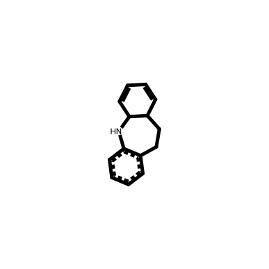 C1=CC2CCc3ccccc3NC2C=C1